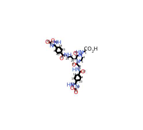 O=C(O)CNN1CCN(C(=O)CNC(=O)c2ccc(-c3nc(=O)o[nH]3)cc2)[C@@H](CCCNC(=O)c2ccc(-c3nc(=O)o[nH]3)cc2)C1=O